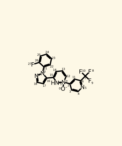 [O-][N+]1(c2ccnc(C(F)(F)F)c2)C=CC=C(c2ccnn2-c2ccccc2F)N1